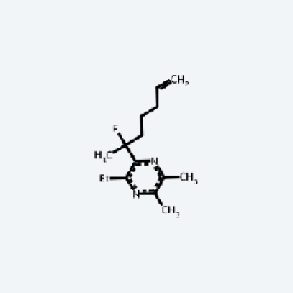 C=CCCCC(C)(F)c1nc(C)c(C)nc1CC